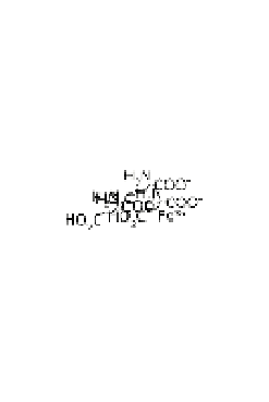 N[C@@H](CCC(=O)O)C(=O)[O-].N[C@@H](CCC(=O)O)C(=O)[O-].N[C@@H](CCC(=O)O)C(=O)[O-].[Fe+3]